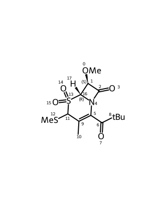 CO[C@H]1C(=O)N2C(C(=O)C(C)(C)C)=C(C)C(SC)S(=O)(=O)[C@H]12